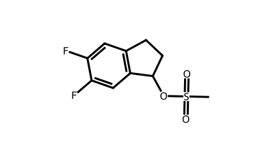 CS(=O)(=O)OC1CCc2cc(F)c(F)cc21